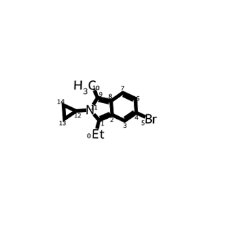 CCc1c2cc(Br)ccc2c(C)n1C1CC1